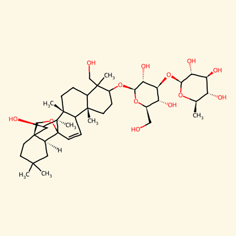 C[C@H]1O[C@@H](O[C@@H]2[C@@H](O)[C@H](OC3CC[C@@]4(C)C(CC[C@]5(C)C4C=CC46OC[C@@]7(CCC(C)(C)C[C@H]47)[C@H](O)C[C@]65C)C3(C)CO)O[C@H](CO)[C@H]2O)[C@H](O)[C@@H](O)[C@@H]1O